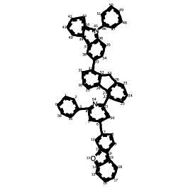 c1ccc(-c2cc(-c3ccc4c(c3)oc3ccccc34)cc(-c3cccc4c3-c3cccc(-c5ccc6c(c5)c5ccccc5n6-c5ccccc5)c3C4)n2)cc1